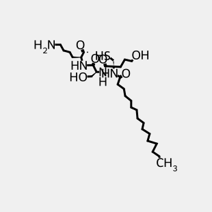 CCCCCCCCCCCCCCCC(=O)N[C@](CS)(CCCO)C(=O)N[C@@H](CO)C(=O)N[C@H]([C]=O)CCCCN